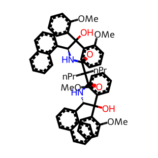 CCCC(CCC)(C(=O)N[C@@H](c1cccc2ccccc12)C(O)(c1ccccc1OC)c1ccccc1OC)C(=O)N[C@@H](c1cccc2ccccc12)C(O)(c1ccccc1OC)c1ccccc1OC